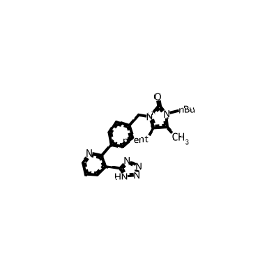 CCCCCc1c(C)n(CCCC)c(=O)n1Cc1ccc(-c2ncccc2-c2nnn[nH]2)cc1